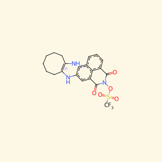 N/C1=C(\Nc2cc3c4c(cccc4c2)C(=O)N(OS(=O)(=O)C(F)(F)F)C3=O)CCCCCC1